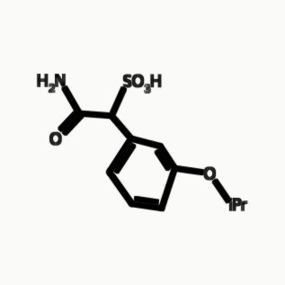 CC(C)Oc1cccc(C(C(N)=O)S(=O)(=O)O)c1